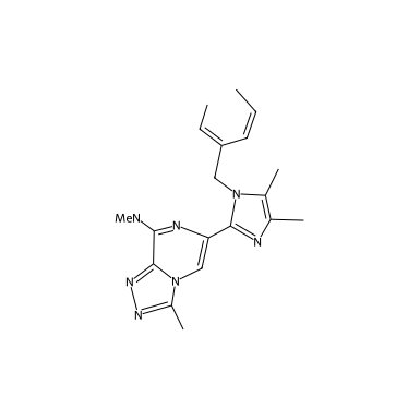 C/C=C\C(=C/C)Cn1c(-c2cn3c(C)nnc3c(NC)n2)nc(C)c1C